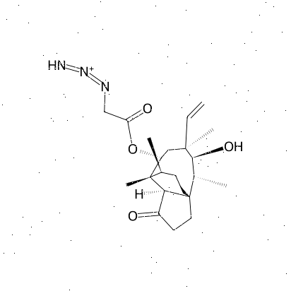 C=C[C@]1(C)C[C@@H](OC(=O)CN=[N+]=N)[C@]2(C)[C@H](C)CC[C@]3(CCC(=O)[C@H]32)[C@@H](C)[C@@H]1O